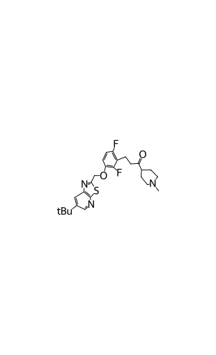 CN1CCC(C(=O)CCc2c(F)ccc(OCc3nc4cc(C(C)(C)C)cnc4s3)c2F)CC1